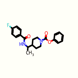 CC(NC(=O)c1ccc(F)cc1)C1CCN(C(=O)Oc2ccccc2)CC1